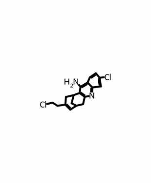 Nc1c2c(nc3cc(Cl)ccc13)CC1C=C(CCCl)CC2C1